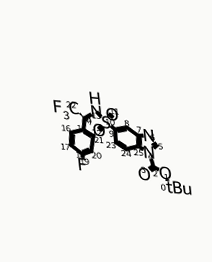 CC(C)(C)OC(=O)n1cnc2cc(S(=O)(=O)N[C@H](c3ccc(F)cc3)C(F)(F)F)ccc21